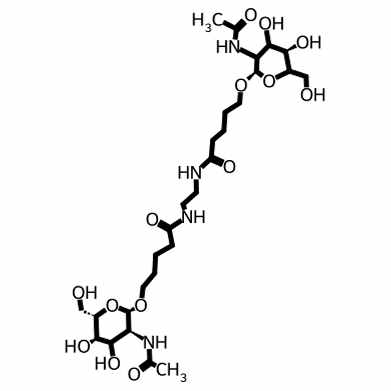 CC(=O)NC1C(O)[C@@H](O)C(CO)O[C@H]1OCCCCC(=O)NCCNC(=O)CCCCO[C@@H]1O[C@@H](CO)[C@H](O)C(O)[C@@H]1NC(C)=O